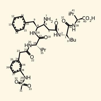 CC[C@H](C)[C@H](NC(=O)C[C@H](N)[C@H](Cc1ccccc1)NC(=O)[C@@H](NC(=O)Cc1cccc(NS(C)(=O)=O)c1)C(C)C)C(=O)N[C@H](C(=O)O)C(C)C